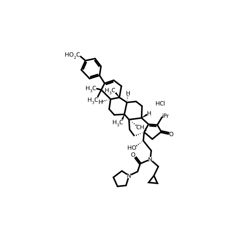 CC(C)C1=C2[C@H]3CC[C@@H]4[C@@]5(C)CC=C(c6ccc(C(=O)O)cc6)C(C)(C)[C@@H]5CC[C@@]4(C)[C@]3(C)CC[C@@]2([C@@H](O)CN(CC2CC2)C(=O)CN2CCCC2)CC1=O.Cl